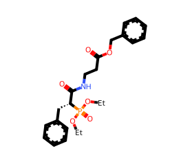 CCOP(=O)(OCC)[C@H](Cc1ccccc1)C(=O)NCCC(=O)OCc1ccccc1